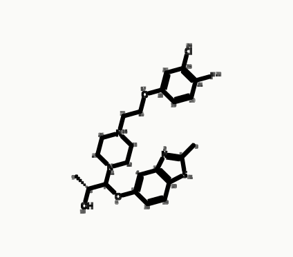 Cc1nc2cc(OC([C@@H](C)O)N3CCN(CCOc4ccc(F)c(Cl)c4)CC3)ccc2s1